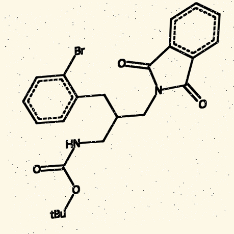 CC(C)(C)OC(=O)NCC(Cc1ccccc1Br)CN1C(=O)c2ccccc2C1=O